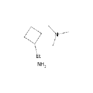 CCC1CCC1.CN(C)C.N